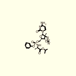 CC(C)OC(=O)[C@@H](C)N[P@@](=O)(OC[C@H]1O[C@@H](n2ccc(N)nc2=O)[C@](C)(N=[N+]=[N-])[C@@H]1O)Oc1ccccc1